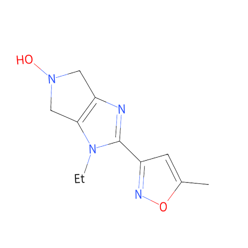 CCn1c(-c2cc(C)on2)nc2c1CN(O)C2